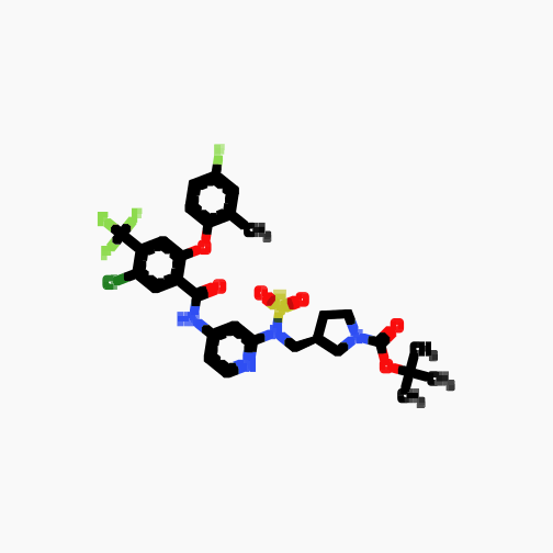 Cc1cc(F)ccc1Oc1cc(C(F)(F)F)c(Cl)cc1C(=O)Nc1ccnc(N(C[C@H]2CCN(C(=O)OC(C)(C)C)C2)[SH](=O)=O)c1